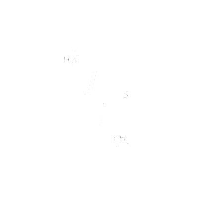 C=CC(=S)C=CC